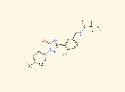 CC(C)(CF)C(=O)NCc1ccc(Cl)c(-c2nn(-c3ccc(C(F)(F)F)cc3)c(=O)[nH]2)c1